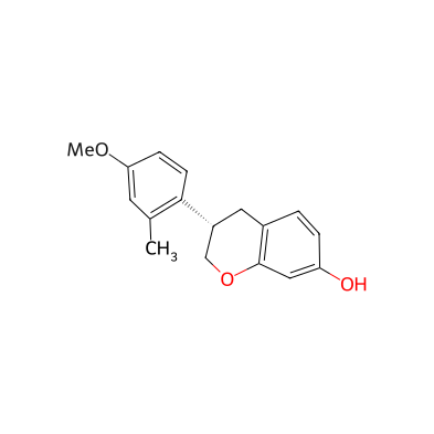 COc1ccc([C@H]2COc3cc(O)ccc3C2)c(C)c1